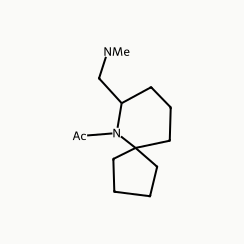 CNCC1CCCC2(CCCC2)N1C(C)=O